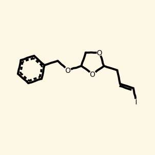 IC=CCC1OCC(OCc2ccccc2)O1